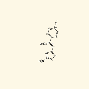 O=C/C(=C\c1ccc([N+](=O)[O-])o1)c1ccc(Cl)cc1